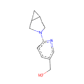 OCc1ccc(N2CC3CC3C2)nc1